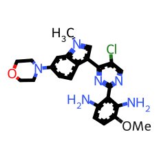 COc1ccc(N)c(-c2ncc(Cl)c(-c3cn(C)c4cc(N5CCOCC5)ccc34)n2)c1N